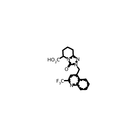 O=C(O)C1CCCc2nn(Cc3cc(C(F)(F)F)nc4ccccc34)c(=O)n21